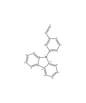 O=[C]c1cccc(-n2c3ccccc3c3ccccc32)c1